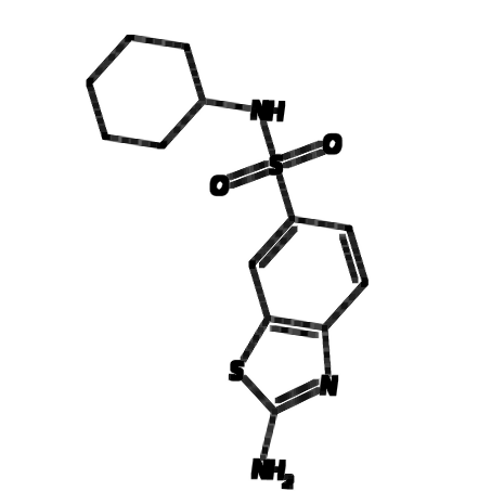 Nc1nc2ccc(S(=O)(=O)NC3CCCCC3)cc2s1